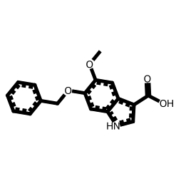 COc1cc2c(C(=O)O)c[nH]c2cc1OCc1ccccc1